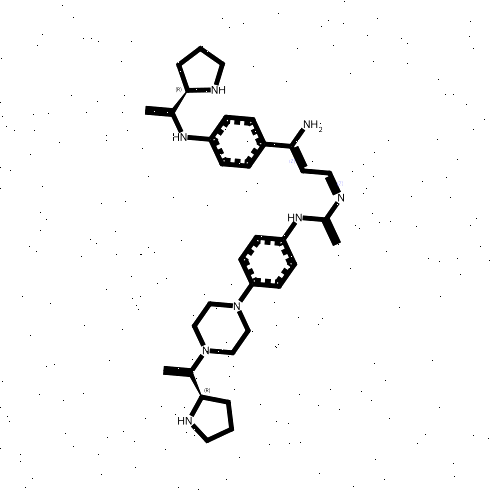 C=C(/N=C\C=C(/N)c1ccc(NC(=C)[C@H]2CCCN2)cc1)Nc1ccc(N2CCN(C(=C)[C@H]3CCCN3)CC2)cc1